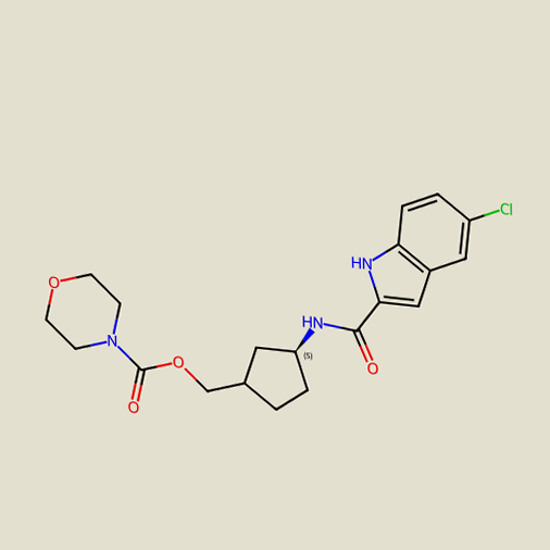 O=C(N[C@H]1CCC(COC(=O)N2CCOCC2)C1)c1cc2cc(Cl)ccc2[nH]1